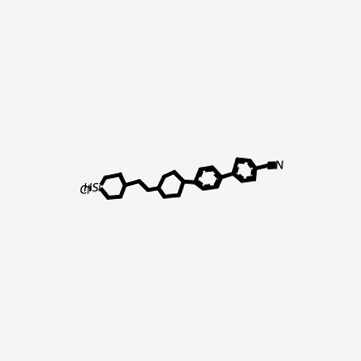 N#Cc1ccc(-c2ccc(C3CCC(CCC4CC[SiH](Cl)CC4)CC3)cc2)cc1